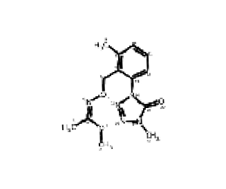 COC(C)=NOCc1c(C)cccc1-n1nnn(C)c1=O